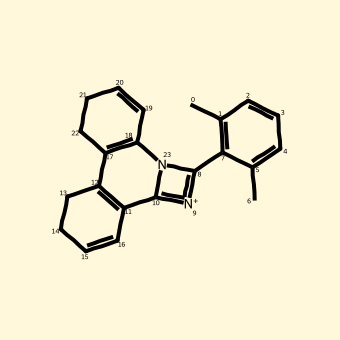 Cc1cccc(C)c1C1=[N+]=C2C3=C(CCC=C3)C3=C(C=CCC3)N21